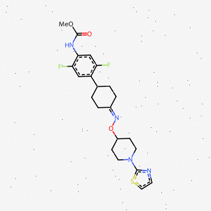 COC(=O)Nc1cc(F)c(C2CCC(=NOC3CCN(c4nccs4)CC3)CC2)cc1F